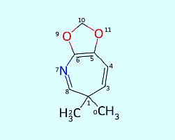 CC1(C)C=CC2=C(N=C1)OCO2